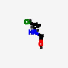 O=C[NH][Pb][Cl]